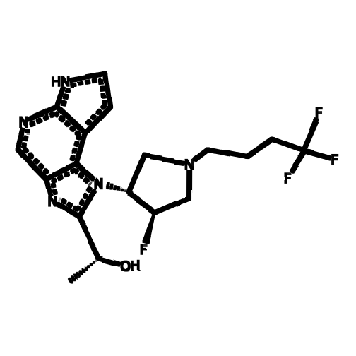 C[C@@H](O)c1nc2cnc3[nH]ccc3c2n1[C@@H]1CN(CCCC(F)(F)F)C[C@H]1F